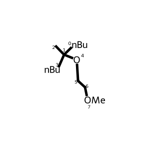 CCCCC(C)(CCCC)OCCOC